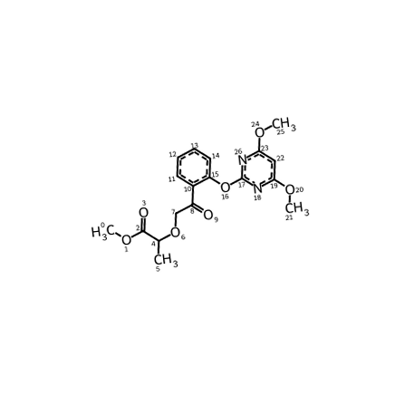 COC(=O)C(C)OCC(=O)c1ccccc1Oc1nc(OC)cc(OC)n1